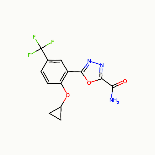 NC(=O)c1nnc(-c2cc(C(F)(F)F)ccc2OC2CC2)o1